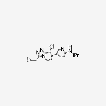 CC(C)Nc1ccc(-c2ccn3c(CC4CC4)nnc3c2Cl)cn1